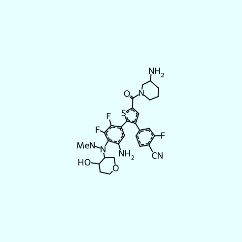 CNN(c1c(N)cc(-c2sc(C(=O)N3CCCC(N)C3)cc2-c2ccc(C#N)c(F)c2)c(F)c1F)C1COCCC1O